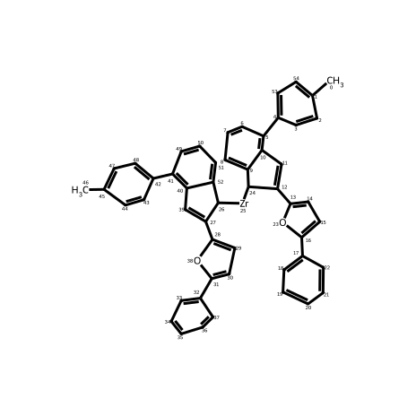 Cc1ccc(-c2cccc3c2C=C(c2ccc(-c4ccccc4)o2)[CH]3[Zr][CH]2C(c3ccc(-c4ccccc4)o3)=Cc3c(-c4ccc(C)cc4)cccc32)cc1